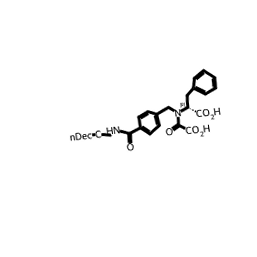 CCCCCCCCCCCCNC(=O)c1ccc(CN(C(=O)C(=O)O)[C@H](Cc2ccccc2)C(=O)O)cc1